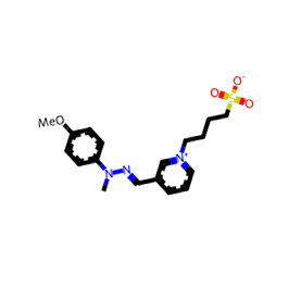 COc1ccc(N(C)/N=C/c2ccc[n+](CCCCS(=O)(=O)[O-])c2)cc1